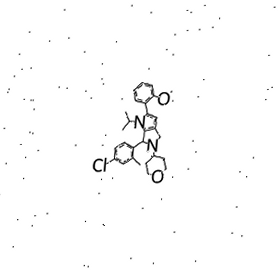 COc1ccccc1-c1cc2c(n1C(C)C)C(c1ccc(Cl)cc1C)N(C1CCOCC1)C2